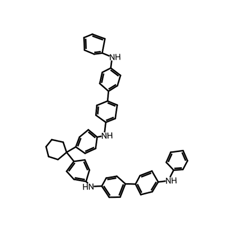 c1ccc(Nc2ccc(-c3ccc(Nc4ccc(C5(c6ccc(Nc7ccc(-c8ccc(Nc9ccccc9)cc8)cc7)cc6)CCCCC5)cc4)cc3)cc2)cc1